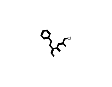 C=C(/C=C(\C)CCl)/C(=C\C)CCc1ccccc1